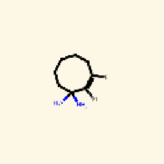 CCC1=C(CC)C(N)(N)CCCCC1